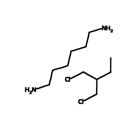 CCC(CCl)CCl.NCCCCCCN